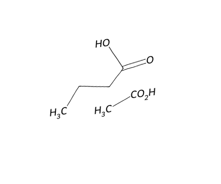 CC(=O)O.CCCC(=O)O